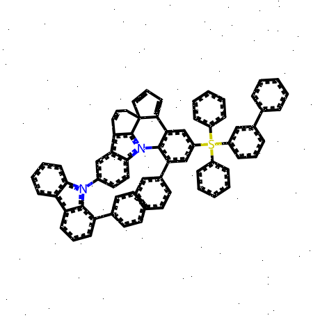 C1=CC23CC=Cc4c2n(c2ccc(-n5c6ccccc6c6cccc(-c7ccccc7)c65)cc42)-c2c(cc(S(c4ccccc4)(c4ccccc4)c4cccc(-c5ccccc5)c4)cc2-c2ccccc2)C3=C1